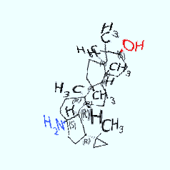 CC1([C@@H]2CC[C@]3(N)CC[C@]4(C)[C@H](CC[C@@H]5[C@@]6(C)CC[C@H](O)C(C)(C)[C@@H]6CC[C@]54C)[C@@H]23)CC1